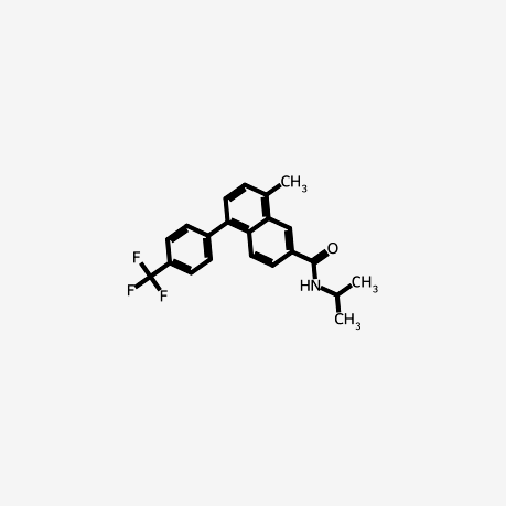 Cc1ccc(-c2ccc(C(F)(F)F)cc2)c2ccc(C(=O)NC(C)C)cc12